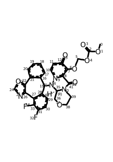 COC(=O)OCOc1c2n(ccc1=O)N([C@@H]1c3ccccc3-c3ocnc3-c3c1ccc(F)c3F)[C@@H]1COCCN1C2=O